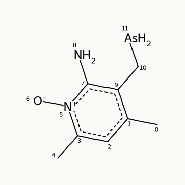 Cc1cc(C)[n+]([O-])c(N)c1C[AsH2]